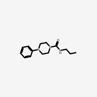 CCCNC(=O)N1CCN(c2ccccc2)CC1